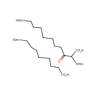 CCCCCCCCCCCCCCCCCC(=O)C(CCCCCC)C(=O)O.CCCCCCCCCCCCCCCCCC(=O)O